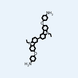 CCn1c2ccc(Oc3ccc(N)cc3)cc2c2cc(-c3ccc4c(c3)c3cc(Oc5ccc(N)cc5)ccc3n4CC)ccc21